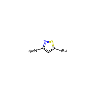 CNc1cc(C(C)(C)C)sn1